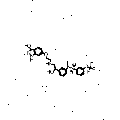 COc1n[nH]c2cc(OCCNCC(O)c3cccc(NS(=O)(=O)c4cccc(OC(F)(F)F)c4)c3)ccc12